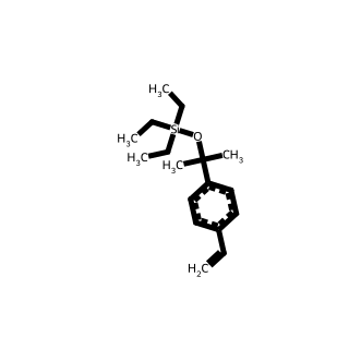 C=Cc1ccc(C(C)(C)O[Si](CC)(CC)CC)cc1